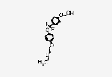 CCOCCOc1ccc(OC(F)(F)c2ccc(OCO)cc2)cc1